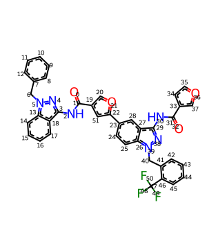 O=C(Nc1nn(Cc2ccccc2)c2ccccc12)c1coc(-c2ccc3c(c2)c(NC(=O)c2ccoc2)nn3Cc2ccccc2C(F)(F)F)c1